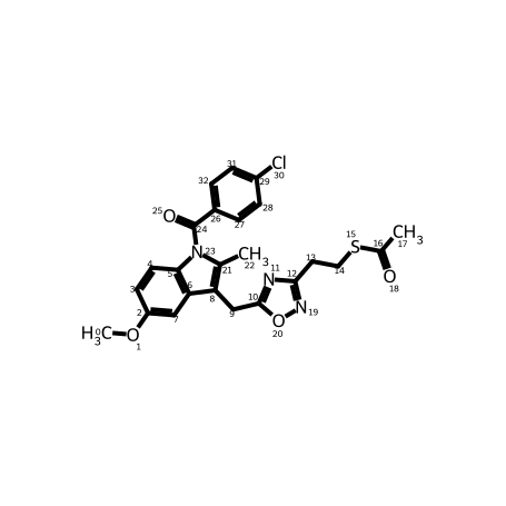 COc1ccc2c(c1)c(Cc1nc(CCSC(C)=O)no1)c(C)n2C(=O)c1ccc(Cl)cc1